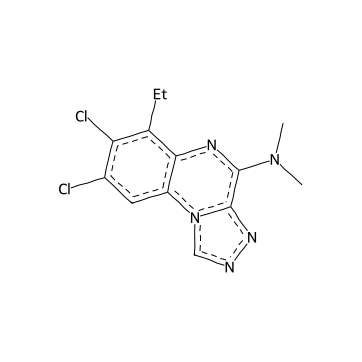 CCc1c(Cl)c(Cl)cc2c1nc(N(C)C)c1nncn12